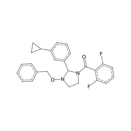 O=C(c1c(F)cccc1F)N1CCN(OCc2ccccc2)C1c1cccc(C2CC2)c1